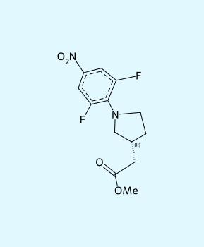 COC(=O)C[C@H]1CCN(c2c(F)cc([N+](=O)[O-])cc2F)C1